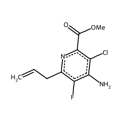 C=CCc1nc(C(=O)OC)c(Cl)c(N)c1F